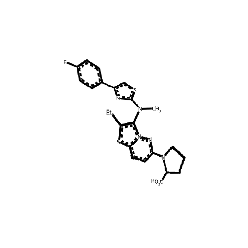 CCc1nc2ccc(N3CCCC3C(=O)O)nn2c1N(C)c1nc(-c2ccc(F)cc2)cs1